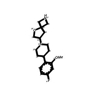 COc1cc(F)ccc1C1CCN(C2COC3(CNC3)C2)CC1